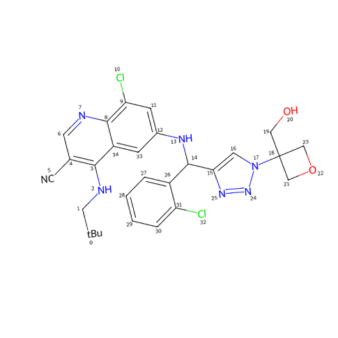 CC(C)(C)CNc1c(C#N)cnc2c(Cl)cc(NC(c3cn(C4(CO)COC4)nn3)c3ccccc3Cl)cc12